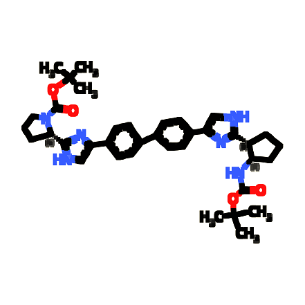 CC(C)(C)OC(=O)N[C@@H]1CCC[C@H]1c1nc(-c2ccc(-c3ccc(-c4c[nH]c([C@@H]5CCCN5C(=O)OC(C)(C)C)n4)cc3)cc2)c[nH]1